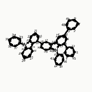 c1ccc(-c2cc(-c3ccccc3)c3c(c2)c2cc(-c4cccc5c4c4ccccc4n5-c4ccccc4)ccc2n3-c2ccccc2)cc1